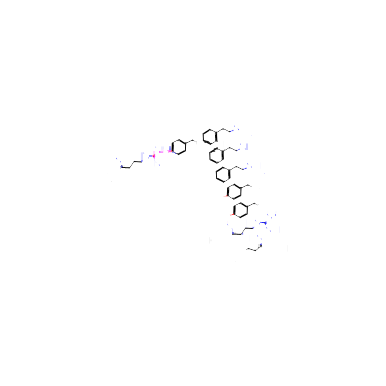 N=C(N)NCCC[C@@H](N)C(=O)O.N=C(N)NCCC[C@H](N)C(=O)O.NCCc1ccccc1.NCCc1ccccc1.NCCc1ccccc1.N[C@@H](CCC(=O)O)C(=O)O.O=C(O)Cc1ccc(O)cc1.O=C(O)Cc1ccc(O)cc1.O=C(O)Cc1ccc(O)cc1